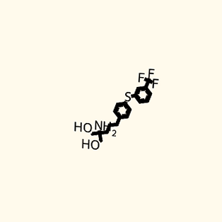 NC(CO)(CO)CCCc1ccc(Sc2cccc(C(F)(F)F)c2)cc1